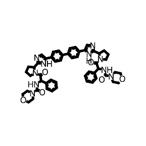 O=C(NC(C(=O)N1CCCC1c1ncc(-c2ccc(-c3ccc(-c4cnc(C5CCCN5C(=O)C(NC(=O)N5CCOCC5)c5ccccc5)[nH]4)cc3)cc2)[nH]1)c1ccccc1)N1CCOCC1